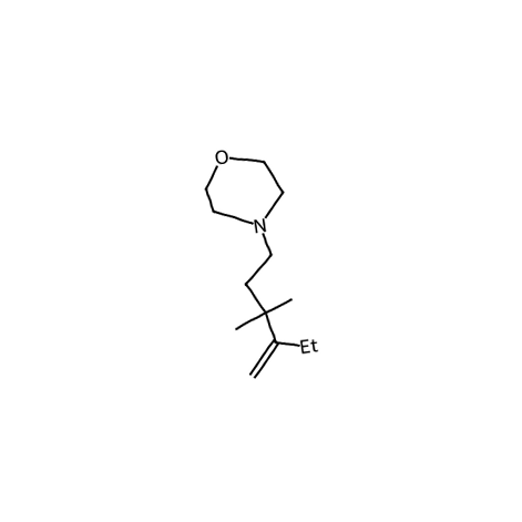 C=C(CC)C(C)(C)CCN1CCOCC1